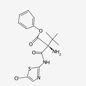 CC(C)(C)[C@](N)(C(=O)Nc1ncc(Cl)s1)C(=O)Oc1ccccc1